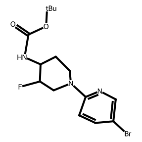 CC(C)(C)OC(=O)NC1CCN(c2ccc(Br)cn2)CC1F